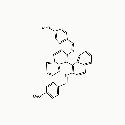 COc1ccc(/C=N\c2ccc3ccccc3c2-c2c(/N=C/c3ccc(OC)cc3)ccc3ccccc23)cc1